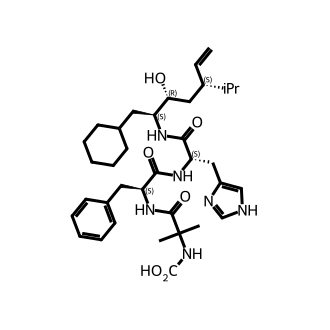 C=C[C@@H](C[C@@H](O)[C@H](CC1CCCCC1)NC(=O)[C@H](Cc1c[nH]cn1)NC(=O)[C@H](Cc1ccccc1)NC(=O)C(C)(C)NC(=O)O)C(C)C